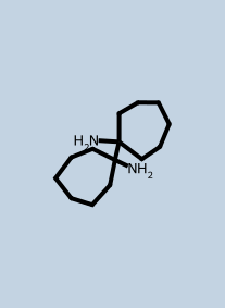 NC1(C2(N)CCCCCC2)CCCCCC1